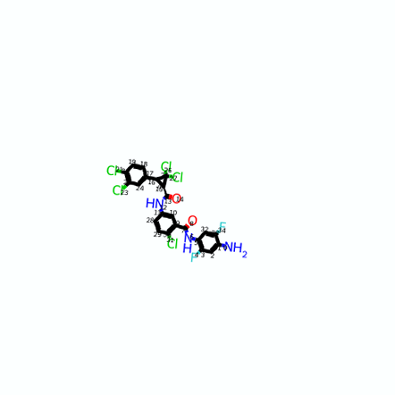 Nc1cc(F)c(NC(=O)c2cc(NC(=O)[C@H]3C(c4ccc(Cl)c(Cl)c4)C3(Cl)Cl)ccc2Cl)cc1F